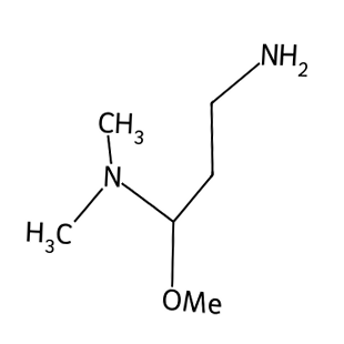 COC(CCN)N(C)C